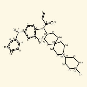 C=CC(=O)N(c1ccc(N(C)c2ccncc2)cc1C(F)(F)F)C1CCC2(CC1)CCN(C1CCN(C)CC1)CC2